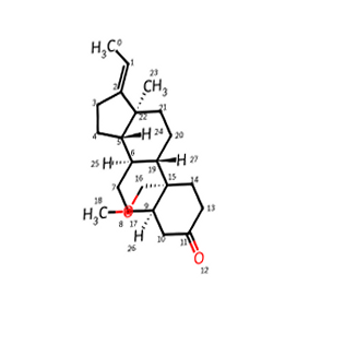 CC=C1CC[C@H]2[C@@H]3CC[C@@H]4CC(=O)CC[C@]4(COC)[C@H]3CC[C@]12C